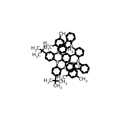 Cc1cc(C)c(B2c3cc(C(C)(C)C)ccc3N3c4ccc(C(C)(C)C)cc4B(c4c(C)cc(C)cc4C)c4cc(-c5c(-n6c7ccccc7c7ccccc76)cccc5-n5c6ccccc6c6ccccc65)cc2c43)c(C)c1